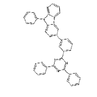 c1ccc(-c2nc(-c3ccccc3)nc(-c3cccc(-c4ccc5c(c4)c4cccnc4n5-c4ccccc4)c3)n2)cc1